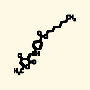 CCCCCCCOC(=O)c1ccc(NC=C2C(=O)C=C(C)OC2=O)cc1